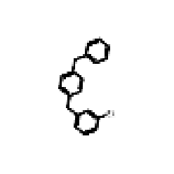 CCc1cccc(Cc2ccc(Cc3ccccc3)cc2)c1